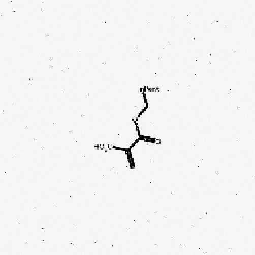 C=C(C(=O)O)C(=O)OCCCCCC